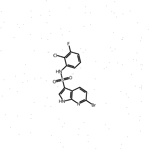 O=S(=O)(Nc1cccc(F)c1Cl)c1c[nH]c2nc(Br)ccc12